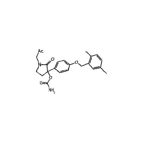 CC(=O)CN1CCC(OC(N)=O)(c2ccc(OCc3cc(C)ccc3C)cc2)C1=O